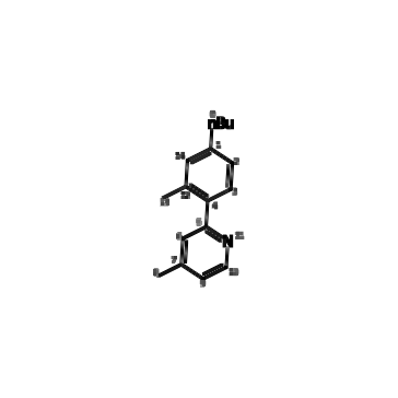 CCCCc1ccc(-c2cc(C)ccn2)c(C)c1